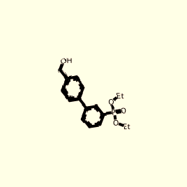 CCOP(=O)(OCC)c1cccc(-c2ccc(CO)cc2)c1